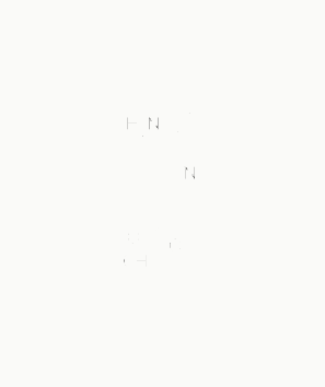 COC(=O)c1ccc(C2(N)CC2)nc1